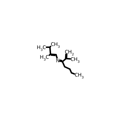 C=C(C)/C(CCCC)=N\C=C(/C)C(C)C